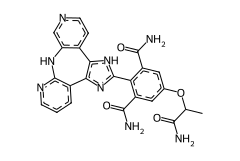 CC(Oc1cc(C(N)=O)c(-c2nc3c([nH]2)-c2ccncc2Nc2ncccc2-3)c(C(N)=O)c1)C(N)=O